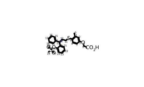 Cc1cc(OCC(=O)O)ccc1SC/C=C(/c1ccccc1)c1ccccc1OS(C)(=O)=O